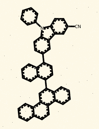 N#Cc1ccc2c(c1)c1cc(-c3ccc(-c4cc5c6ccccc6ccc5c5ccccc45)c4ccccc34)ccc1n2-c1ccccc1